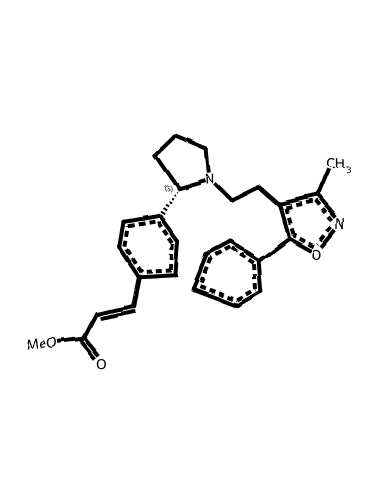 COC(=O)C=Cc1ccc([C@@H]2CCCN2CCc2c(C)noc2-c2ccccc2)cc1